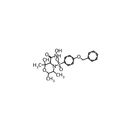 CC1OC(C)(C)C(C(=O)NO)N(S(=O)(=O)c2ccc(OCc3ccccc3)cc2)C1C